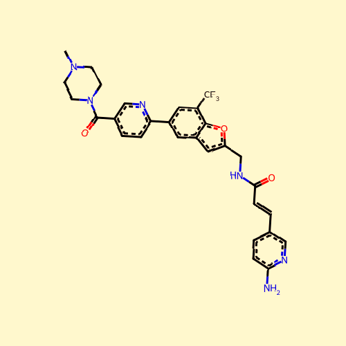 CN1CCN(C(=O)c2ccc(-c3cc(C(F)(F)F)c4oc(CNC(=O)C=Cc5ccc(N)nc5)cc4c3)nc2)CC1